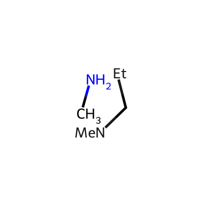 CCCNC.CN